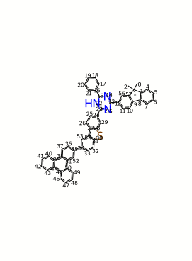 CC1(C)c2ccccc2-c2ccc(C3=NC(c4ccccc4)NC(c4ccc5c(c4)sc4ccc(-c6ccc7c8ccccc8c8ccccc8c7c6)cc45)=N3)cc21